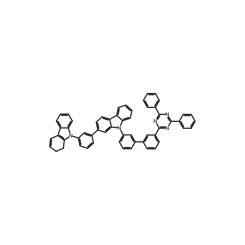 C1=Cc2c(n(-c3cccc(-c4ccc5c6ccccc6n(-c6cccc(-c7cccc(-c8nc(-c9ccccc9)nc(-c9ccccc9)n8)c7)c6)c5c4)c3)c3ccccc23)CC1